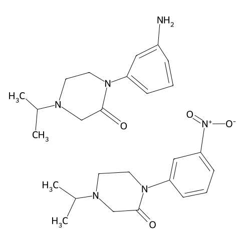 CC(C)N1CCN(c2cccc(N)c2)C(=O)C1.CC(C)N1CCN(c2cccc([N+](=O)[O-])c2)C(=O)C1